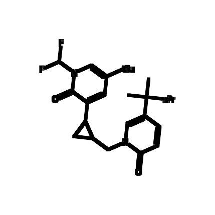 CCCC(C)(C)c1ccc(=O)n(CC2CC2c2cc(C(C)(C)C)cn(C(F)F)c2=O)c1